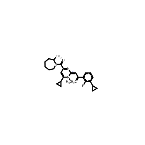 C=C(/C=C1/N=C(C(=O)N2CCCCCC2C)C=C(C2CC2)N1C)c1cccc(C2CC2)c1F